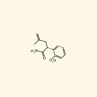 C=C(C)CC(C(N)=O)c1ccccc1[N+](=O)[O-]